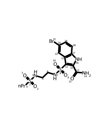 CCCS(=O)(=O)NCCNS(=O)(=O)c1c(C(N)=O)[nH]c2ccc(Br)cc12